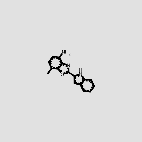 Cc1ccc(N)c2nc(-c3cc4ccccc4[nH]3)oc12